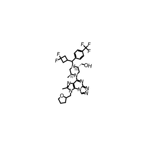 Cc1nc2c(N3C[C@@H](CO)N(C(c4ccc(C(F)(F)F)cc4)C4CC(F)(F)C4)C[C@@H]3C)nc3nncn3c2n1CC1CCCO1